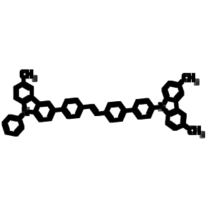 Cc1ccc2c(c1)c1cc(C)ccc1n2-c1ccc(-c2ccc(/C=C/c3ccc(-c4ccc5c(c4)c4cc(C)ccc4n5-c4ccccc4)cc3)cc2)cc1